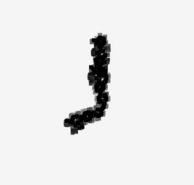 Cc1cccc(NC(=O)c2ccc(-c3nn4c(c3C(N)=O)Nc3ccc(N5CCN(CC6CCN(c7ccc(N8CCC(=O)NC8=O)cc7)C6)CC5)cc3CC4)c(F)c2C)n1